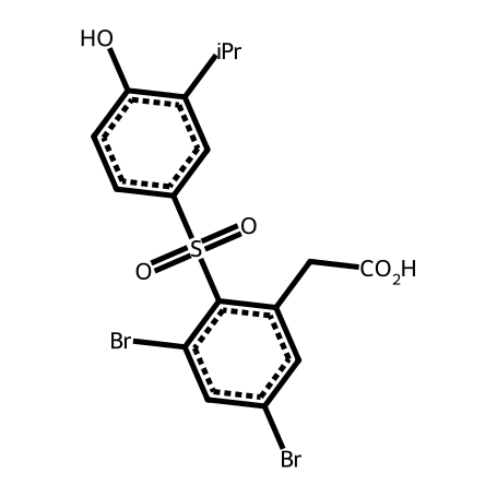 CC(C)c1cc(S(=O)(=O)c2c(Br)cc(Br)cc2CC(=O)O)ccc1O